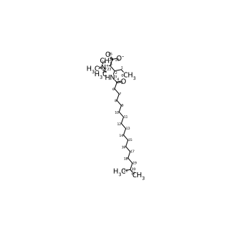 CCC(NC(=O)CCCCCCCCCCCCCCC(C)C)C(C(=O)[O-])[N+](C)(C)C